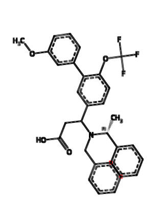 COc1cccc(-c2cc(C(CC(=O)O)N(Cc3ccccc3)[C@H](C)c3ccccc3)ccc2OC(F)(F)F)c1